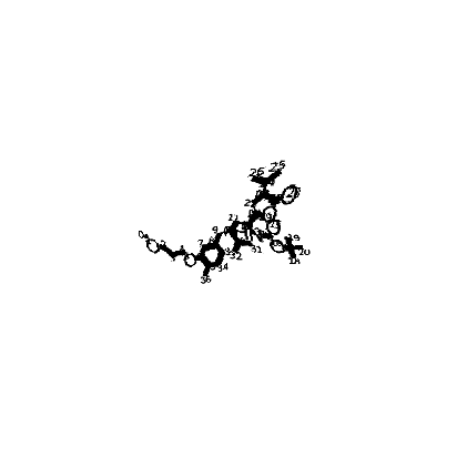 COCCCOc1cc(C[C@H](C[C@H](NC(=O)OC(C)(C)C)[C@@H]2C[C@@H](C(C)C)C(=O)O2)C(C)C)ccc1C